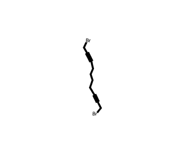 BrCC#CCCCCC#CCBr